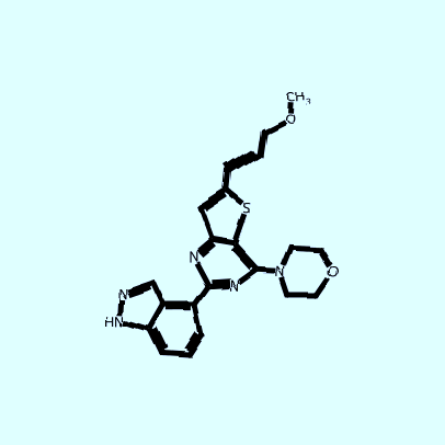 COCC=Cc1cc2nc(-c3cccc4[nH]ncc34)nc(N3CCOCC3)c2s1